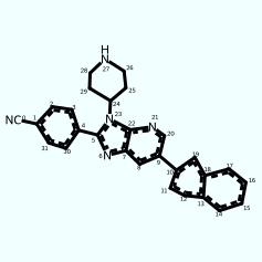 N#Cc1ccc(-c2nc3cc(-c4ccc5ccccc5c4)cnc3n2C2CCNCC2)cc1